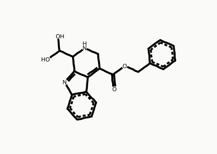 O=C(OCc1ccccc1)C1=C2C(=Nc3ccccc32)C(C(O)O)NC1